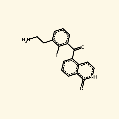 NCCc1cccc(C(=O)c2cccc3c(=O)[nH]ccc23)c1F